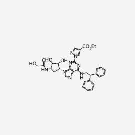 CCOC(=O)c1cnn(-c2nc(NCC(c3ccccc3)c3ccccc3)c3ncn([C@@H]4C[C@H](NC(=O)CO)[C@@H](O)[C@H]4O)c3n2)c1